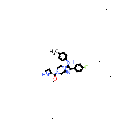 Cc1ccc(Nc2c(-c3ccc(F)cc3)nc3n2CCN(C(=O)[C@H]2CCN2)C3)cc1